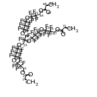 C=CC(=O)OCC(F)(F)C(F)(F)OC(F)(F)C(F)(F)C(F)(F)OCC(F)(COC(F)(F)C(F)(F)C(F)(F)OC(F)(F)C(F)(F)COC(=O)C=C)OC(F)(F)C(F)(F)C(F)(F)OC(F)(F)C(F)(F)COC(=O)C=C